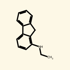 CCNc1cccc2c1[CH]c1ccccc1-2